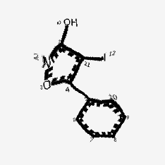 Oc1noc(-c2ccccc2)c1I